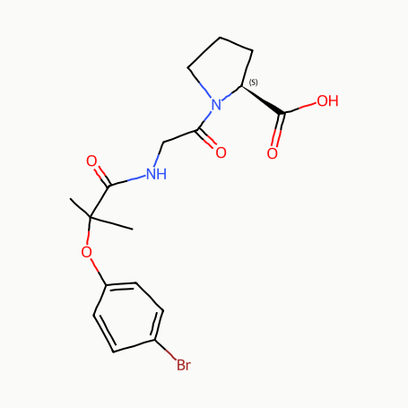 CC(C)(Oc1ccc(Br)cc1)C(=O)NCC(=O)N1CCC[C@H]1C(=O)O